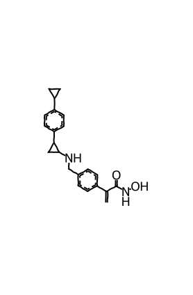 C=C(C(=O)NO)c1ccc(CNC2CC2c2ccc(C3CC3)cc2)cc1